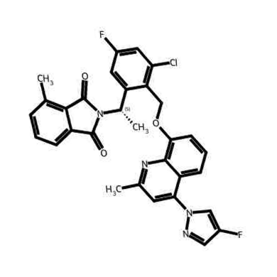 Cc1cc(-n2cc(F)cn2)c2cccc(OCc3c(Cl)cc(F)cc3[C@H](C)N3C(=O)c4cccc(C)c4C3=O)c2n1